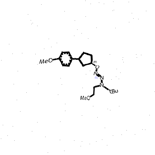 COCCN(/N=N/O[C@@H]1CCC(c2ccc(OC)cc2)C1)C(C)(C)C